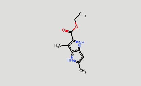 CCOC(=O)c1[nH]c2cc(C)[nH]c2c1C